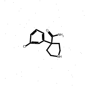 NC(=O)C1(c2cccc(Cl)c2)CCNCC1